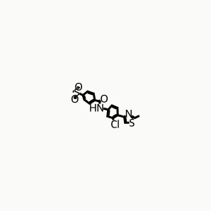 Cc1nc(-c2ccc(NC(=O)c3ccc(S(C)(=O)=O)cc3)cc2Cl)cs1